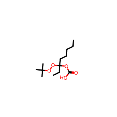 CCCCCC(CC)(OOC(C)(C)C)OC(=O)O